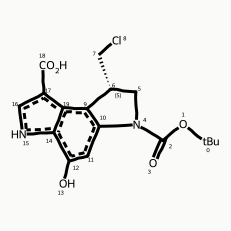 CC(C)(C)OC(=O)N1C[C@@H](CCl)c2c1cc(O)c1[nH]cc(C(=O)O)c21